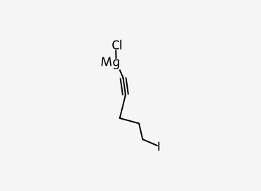 [Cl][Mg][C]#CCCCI